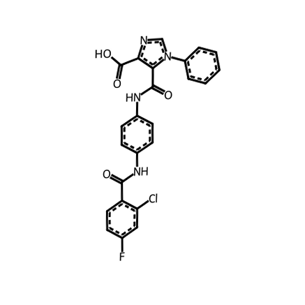 O=C(Nc1ccc(NC(=O)c2c(C(=O)O)ncn2-c2ccccc2)cc1)c1ccc(F)cc1Cl